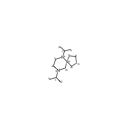 CC(C)N1CCN(C(C)C)C2(CCCC2)C1